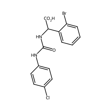 O=C(Nc1ccc(Cl)cc1)NC(C(=O)O)c1ccccc1Br